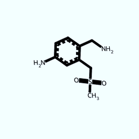 CS(=O)(=O)Cc1cc(N)ccc1CN